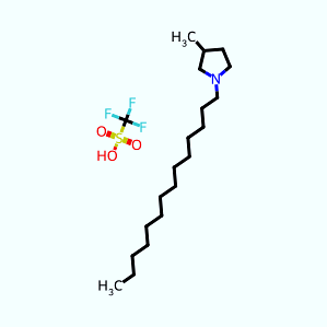 CCCCCCCCCCCCCCN1CCC(C)C1.O=S(=O)(O)C(F)(F)F